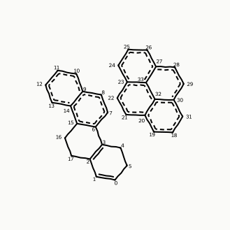 C1=CC2=C(CC1)c1ccc3ccccc3c1CC2.c1cc2ccc3cccc4ccc(c1)c2c34